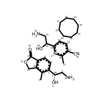 Cc1c([C@@H](O)CN)ccc2c1COC2=O.Cc1nc(C(O)CN)ccc1C#N.[CH]1CCCCCCC1